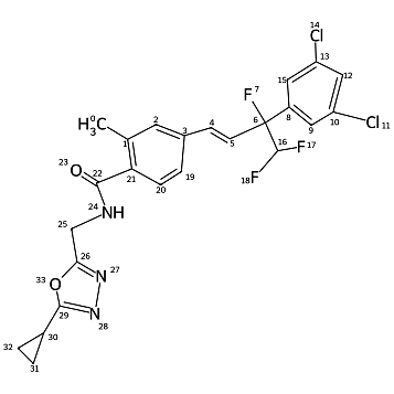 Cc1cc(C=CC(F)(c2cc(Cl)cc(Cl)c2)C(F)F)ccc1C(=O)NCc1nnc(C2CC2)o1